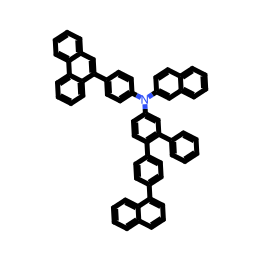 c1ccc(-c2cc(N(c3ccc(-c4cc5ccccc5c5ccccc45)cc3)c3ccc4ccccc4c3)ccc2-c2ccc(-c3cccc4ccccc34)cc2)cc1